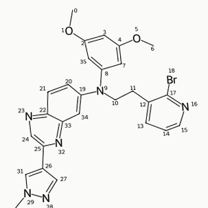 COc1cc(OC)cc(N(CCc2cccnc2Br)c2ccc3ncc(-c4cnn(C)c4)nc3c2)c1